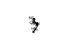 CN(C)C/C=C/C(=O)NC/C=C/C1Cc2ncnc(Nc3ccc(Oc4cccc(C#N)c4)c(Cl)c3)c2N1C